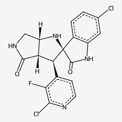 O=C1NC[C@@H]2N[C@@]3(C(=O)Nc4cc(Cl)ccc43)[C@@H](c3ccnc(Cl)c3F)[C@H]12